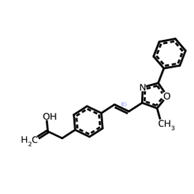 C=C(O)Cc1ccc(/C=C/c2nc(-c3ccccc3)oc2C)cc1